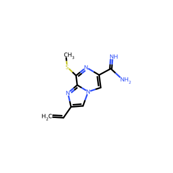 C=Cc1cn2cc(C(=N)N)nc(SC)c2n1